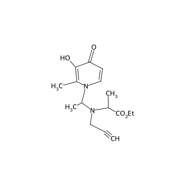 C#CCN(C(C)C(=O)OCC)C(C)n1ccc(=O)c(O)c1C